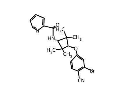 CC1(C)[C@H](NC(=O)c2ccccn2)C(C)(C)[C@H]1Oc1ccc(C#N)c(Br)c1